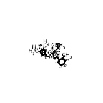 CC[Si](CC)(CC)OC(CNCC1C[C@@H](C)C(C)(C)C1)c1ccccc1C